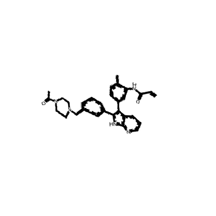 C=CC(=O)Nc1cc(-c2c(-c3cccc(CN4CCN(C(C)=O)CC4)c3)[nH]c3ncccc23)ccc1C